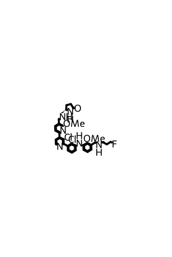 COc1nc(-c2ccnc(-c3cccc(Nc4cccc(CNCCCF)c4OC)c3Cl)c2Cl)ccc1CNC[C@@H]1CCC(=O)N1